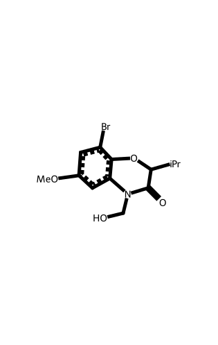 COc1cc(Br)c2c(c1)N(CO)C(=O)C(C(C)C)O2